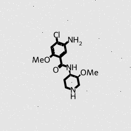 COc1cc(Cl)c(N)cc1C(=O)N[C@@H]1CCNC[C@@H]1OC